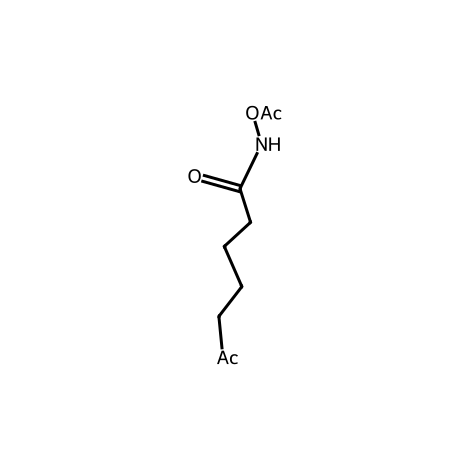 CC(=O)CCCCC(=O)NOC(C)=O